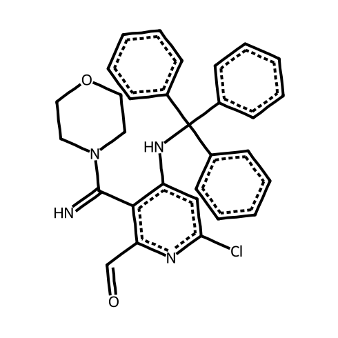 N=C(c1c(NC(c2ccccc2)(c2ccccc2)c2ccccc2)cc(Cl)nc1C=O)N1CCOCC1